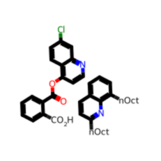 CCCCCCCCc1ccc2cccc(CCCCCCCC)c2n1.O=C(O)c1ccccc1C(=O)Oc1ccnc2cc(Cl)ccc12